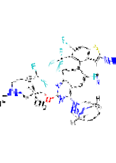 CN1CC[C@H](C(F)F)[C@](C)(COc2nc(N3C[C@H]4CC[C@@H](C3)N4)c3cc(F)c(-c4c(C(F)(F)F)c(F)cc5sc(N)c(C#N)c45)c(F)c3n2)C1